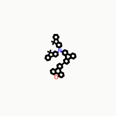 CC1(C)c2ccccc2-c2ccc(N(c3ccc4c(c3)C(C)(C)c3ccccc3-4)c3ccc4c5ccccc5c5ccc(-c6ccc7c(c6)c6cccc8oc9cccc7c9c86)cc5c4c3)cc21